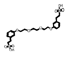 O=S(=O)(O)CCc1cccc(OCCOCCOCCOc2cccc(CCS(=O)(=O)O)c2)c1